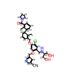 Cc1c(COc2cc(OCc3cncc(C#N)c3)c(CNC(CO)CO)cc2Cl)cccc1-c1cccc(C(=O)N2CCCC2)c1C